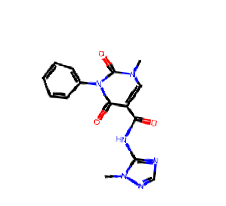 Cn1ncnc1NC(=O)c1cn(C)c(=O)n(-c2ccccc2)c1=O